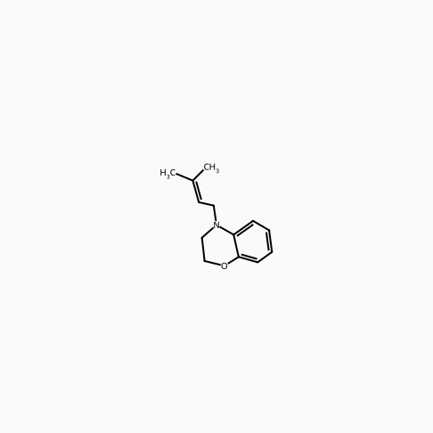 CC(C)=CCN1CCOc2ccccc21